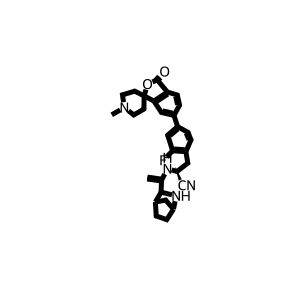 C=C(N[C@H](C#N)Cc1ccc(-c2ccc3c(c2)C2(CCN(C)CC2)OC3=O)cc1F)C1NC2CCC1C2